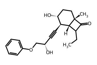 CCC1C(=O)[C@@]2(C)CC[C@@H](O)[C@H](C#C[C@H](O)COc3ccccc3)[C@@H]12